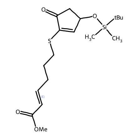 COC(=O)/C=C/CCCSC1=CC(O[Si](C)(C)C(C)(C)C)CC1=O